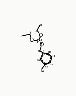 CCOP(OCC)OCc1cccc(C)c1